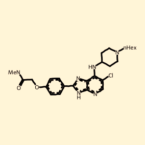 CCCCCCN1CCC(Nc2c(Cl)cnc3[nH]c(-c4ccc(OCC(=O)NC)cc4)nc23)CC1